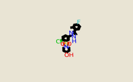 Cc1cc(F)ccc1-c1c[nH]c(-c2ccc(Cl)c(S(=O)(=O)N3CCC(O)CC3)c2)n1